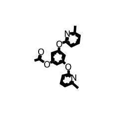 CC(=O)Oc1cc(Oc2cccc(C)n2)cc(Oc2cccc(C)n2)c1